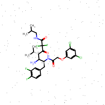 CC(C)CNC(=O)C(F)(F)C(=O)[C@@H](C(C)C)C(N)[C@H](Cc1ccc(F)c(F)c1)NC(=O)COc1cc(Cl)cc(Cl)c1